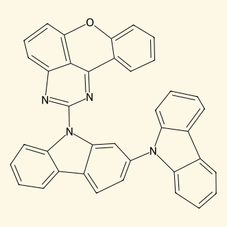 c1ccc2c(c1)Oc1cccc3nc(-n4c5ccccc5c5ccc(-n6c7ccccc7c7ccccc76)cc54)nc-2c13